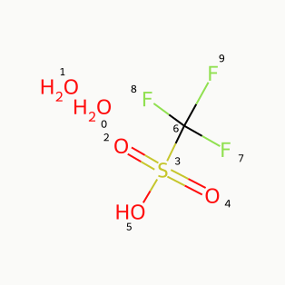 O.O.O=S(=O)(O)C(F)(F)F